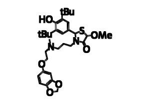 COC1SC(c2cc(C(C)(C)C)c(O)c(C(C)(C)C)c2)N(CCCN(C)CCOc2ccc3c(c2)OCO3)C1=O